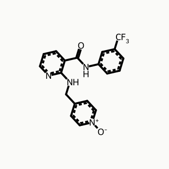 O=C(Nc1cccc(C(F)(F)F)c1)c1cccnc1NCc1cc[n+]([O-])cc1